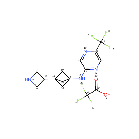 FC(F)(F)c1cnc(NC23CC(C4CNC4)(C2)C3)cn1.O=C(O)C(F)(F)F